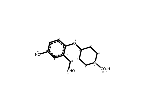 N#Cc1ccc(OC2CCN(C(=O)O)CC2)c(CC=O)c1